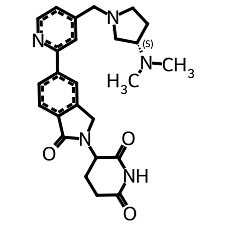 CN(C)[C@H]1CCN(Cc2ccnc(-c3ccc4c(c3)CN(C3CCC(=O)NC3=O)C4=O)c2)C1